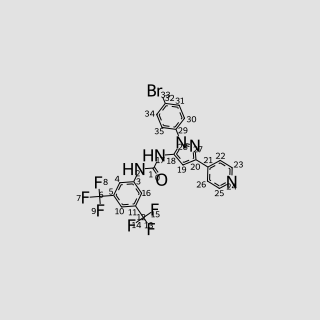 O=C(Nc1cc(C(F)(F)F)cc(C(F)(F)F)c1)Nc1cc(-c2ccncc2)nn1-c1ccc(Br)cc1